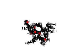 CCCCCOc1ccc(S(=O)(=O)NC(=O)C[C@@H]2CC(=O)[C@H](NC(=O)[C@H](CC)CC(C)C)[C@H](O)c3ccc(c(Cl)c3)Oc3cc4cc(c3O[C@@H]3O[C@H](CO)[C@@H](O)[C@H](O)[C@H]3O[C@H]3C[C@](C)(N)[C@H](O)[C@H](C)O3)Oc3ccc(cc3Cl)[C@@H](O)[C@@H]3NC(=O)[C@H](CC(=O)[C@@H]4NC2=O)c2ccc(O)c(c2)-c2c(O)cc(O)cc2[C@@H](C(=O)CC2C4CC5CC(C4)CC2C5)NC3=O)cc1